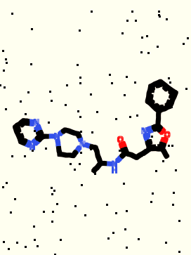 Cc1oc(-c2ccccc2)nc1CC(=O)NC(C)CN1CCN(c2ncccn2)CC1